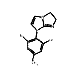 Cc1cc(Br)c(N2C=CN3CCN=C32)c(Br)c1